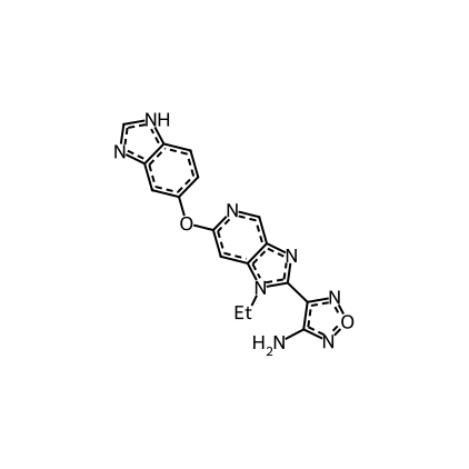 CCn1c(-c2nonc2N)nc2cnc(Oc3ccc4[nH]cnc4c3)cc21